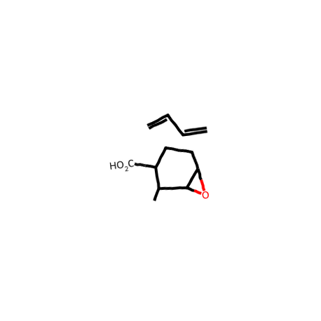 C=CC=C.CC1C(C(=O)O)CCC2OC21